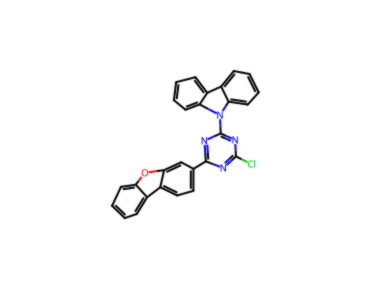 Clc1nc(-c2ccc3c(c2)oc2ccccc23)nc(-n2c3ccccc3c3ccccc32)n1